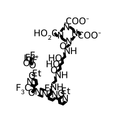 CCOc1ccc(C(=O)N2CCN(c3ccc(-c4cccnc4OCC)nc3CNCCCNC(=O)C[C@H](O)C[C@H](O)CCNC(=O)CN3CCN(CC(=O)[O-])CCN(CC(=O)[O-])CCN(CC(=O)O)CC3)[C@H](CC)C2)c(C(F)(F)F)n1.O=C([O-])C(F)(F)F.[In+3]